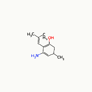 CC(C)=CC1=C(O)CC(C)C=C1N